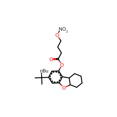 CCCCC(C)(C)c1cc(OC(=O)CCCO[N+](=O)[O-])c2c(c1)OC1CCCCC21